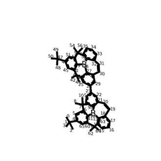 CC(C)(C)c1cc(C(C)(C)C)c(B2c3ccccc3C=Cc3cc(-c4ccc5c(c4)C=Cc4ccccc4B5c4c(C(C)(C)C)cc(C(C)(C)C)cc4C(C)(C)C)ccc32)c(C(C)(C)C)c1